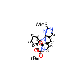 CSc1ncc2c(n1)N(C1CCCCC1)[C@]1(CCN(C(=O)OC(C)(C)C)C1=O)C2